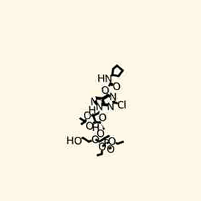 CCOP(=O)(OCC)C(C)(COCCO)OC[C@H]1O[C@@H](n2ncc3c(OC(=O)NC4CCCC4)nc(Cl)nc32)[C@@H]2OC(C)(C)O[C@@H]21